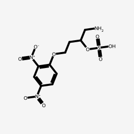 NCC(CCOc1ccc([N+](=O)[O-])cc1[N+](=O)[O-])OS(=O)(=O)O